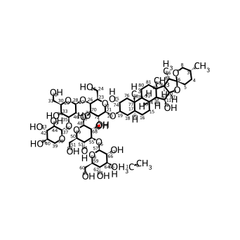 CC.C[C@@H]1CC[C@@]2(OC1)O[C@H]1[C@@H](O)[C@H]3[C@@H]4CC[C@H]5C[C@@H](O[C@@H]6O[C@H](CO)[C@H](O[C@@H]7O[C@H](CO)[C@@H](O)[C@H](O[C@@H]8OC[C@@H](O)[C@H](O)[C@H]8O)[C@H]7O[C@@H]7O[C@H](CO)[C@@H](O)[C@H](O[C@@H]8O[C@H](CO)[C@@H](O)[C@H](O)[C@H]8O)[C@H]7O)[C@H](O)[C@H]6O)[C@H](O)C[C@]5(C)[C@H]4CC[C@]3(C)[C@H]1[C@@H]2C